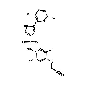 N#CCOc1cc(F)c(NS(=O)(=O)c2c[nH]c(-c3cc(Cl)ccc3F)c2)cc1F